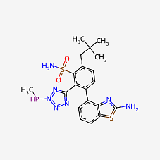 CPn1nnc(-c2c(-c3cccc4sc(N)nc34)ccc(CC(C)(C)C)c2S(N)(=O)=O)n1